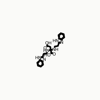 O=C(O)CC(NCCc1nc2ccccc2[nH]1)(NCCc1nc2ccccc2[nH]1)C(=O)O